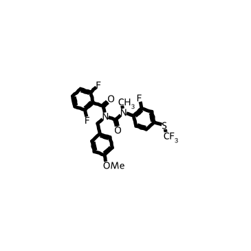 COc1ccc(CN(C(=O)c2c(F)cccc2F)C(=O)N(C)c2ccc(SC(F)(F)F)cc2F)cc1